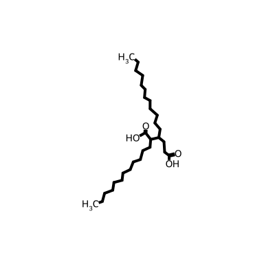 CCCCCCCCCCCCC(CCC(=O)O)C(CCCCCCCCCCCC)C(=O)O